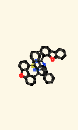 c1ccc(C2=NC(c3cccc4c3oc3ccccc34)=NC(c3cccc4oc5cccc(-c6cccc7c6sc6ccccc67)c5c34)N2)cc1